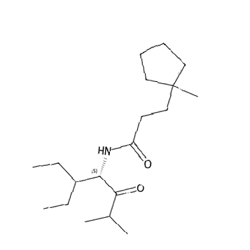 CCC(CC)[C@H](NC(=O)CCC1(C)CCCC1)C(=O)C(C)C